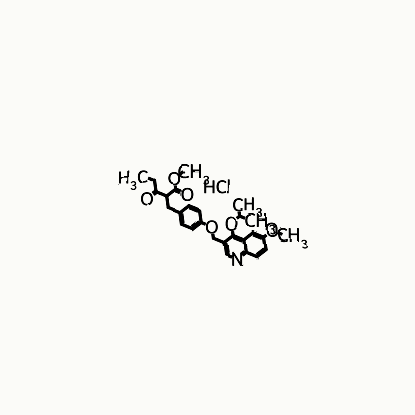 CCC(=O)C(Cc1ccc(OCc2cnc3ccc(OC)cc3c2OC(C)C)cc1)C(=O)OC.Cl